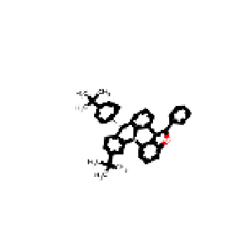 CC(C)(C)c1ccc([C@H]2c3ccc(C(C)(C)C)cc3B3c4c(cccc42)-c2c(-c4ccccc4)oc4cccc3c24)cc1